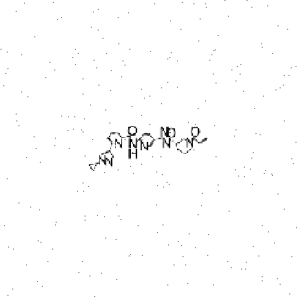 C=CC(=O)N1CCC[C@H](c2nc(-c3ccc(NC(=O)c4cccc(-c5cnn(C6CC6)c5)n4)nc3)no2)C1